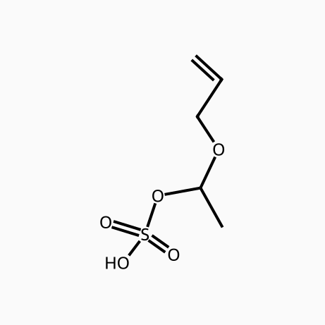 C=CCOC(C)OS(=O)(=O)O